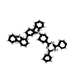 C1=CCCC(C2=NC(c3ccc(-n4c5ccccc5c5ccc(-c6cccc7c6sc6ccccc67)cc54)cc3)=NC(c3ccccc3)N2)=C1